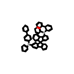 C1=CC(c2ccccc2)C(N(C2=CCCC=C2)c2cccc3c2-c2ccccc2C32C3=C(C=CCC3)c3ccc(N(c4ccccc4)c4ccc(-c5ccccc5)cc4)cc32)C=C1